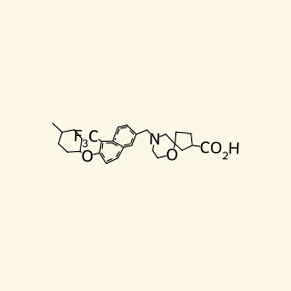 CC1CCC(Oc2ccc3cc(CN4CCOC5(CCC(C(=O)O)C5)C4)ccc3c2C(F)(F)F)CC1